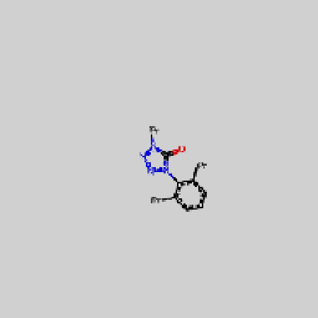 CC(C)c1cccc(C(C)C)c1-n1nnn(C(C)C)c1=O